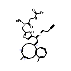 C#CCC=C=C(/C=C1\CC/C=C\C(C)=C/CC2=C1C=C=CC=C2C)c1cnc(CN(CCC)C(=O)CNC(=O)CC)[nH]1